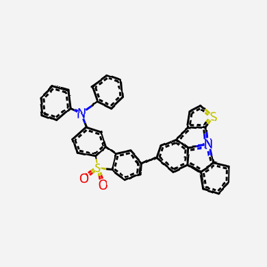 O=S1(=O)c2ccc(-c3cc4c5ccccc5n5c6sccc6c(c3)c45)cc2-c2cc(N(c3ccccc3)c3ccccc3)ccc21